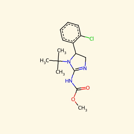 COC(=O)NC1=NCC(c2ccccc2Cl)N1C(C)(C)C